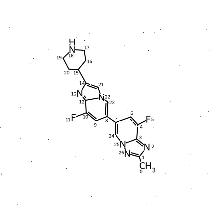 Cc1nc2c(F)cc(-c3cc(F)c4nc(C5CCNCC5)cn4c3)cn2n1